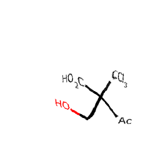 CC(=O)C(CO)(C(=O)O)C(Cl)(Cl)Cl